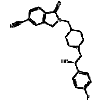 N#Cc1ccc2c(c1)CN(CC1CCN(C[C@H](O)c3ccc(F)cc3)CC1)C2=O